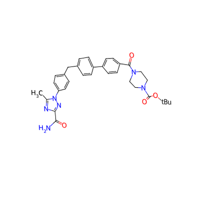 Cc1nc(C(N)=O)nn1-c1ccc(Cc2ccc(-c3ccc(C(=O)N4CCN(C(=O)OC(C)(C)C)CC4)cc3)cc2)cc1